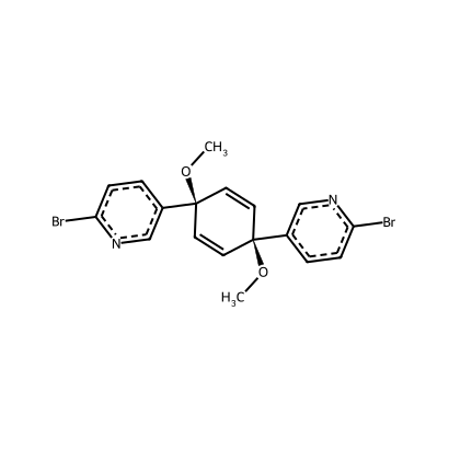 CO[C@]1(c2ccc(Br)nc2)C=C[C@@](OC)(c2ccc(Br)nc2)C=C1